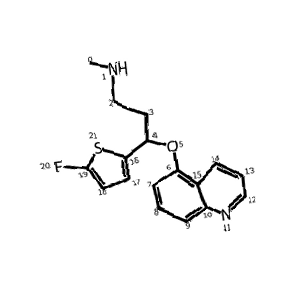 CNCCC(Oc1cccc2ncccc12)c1ccc(F)s1